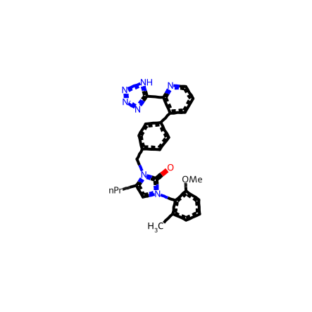 CCCc1cn(-c2c(C)cccc2OC)c(=O)n1Cc1ccc(-c2cccnc2-c2nnn[nH]2)cc1